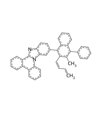 C=C/C=C\c1c(C)c(-c2ccccc2)c2ccccc2c1-c1ccc2nc3c4ccccc4c4ccccc4n3c2c1